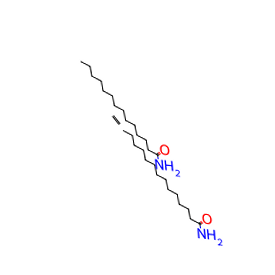 C=C.CCCCCCCCCCCCCC(N)=O.CCCCCCCCCCCCCC(N)=O